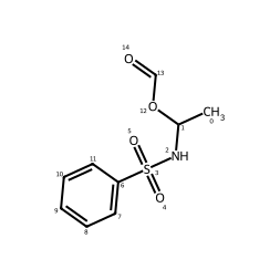 CC(NS(=O)(=O)c1ccccc1)OC=O